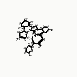 Cc1cc2c3cc(I)ccc3c3c([n+]2cc1-c1ccccn1)C1C(C3)c2ccccc2-c2cccc[n+]21